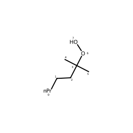 CCCCCC(C)(C)OO